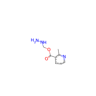 Cc1ncccc1C(=O)OCNN